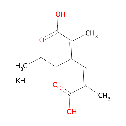 CCCC(C=C(C)C(=O)O)=C(C)C(=O)O.[KH]